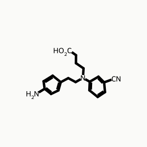 N#Cc1cccc(N(CCCC(=O)O)CCc2ccc(N)cc2)c1